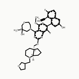 C#Cc1c(F)ccc2cc(O)cc(-c3nc(OC)c4c(N5CCOC[C@@](C)(O)C5)nc(OC[C@]56CCC[C@H]5N(CC5CCOC5)CCC6)nc4c3F)c12